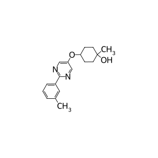 Cc1cccc(-c2ncc(OC3CCC(C)(O)CC3)cn2)c1